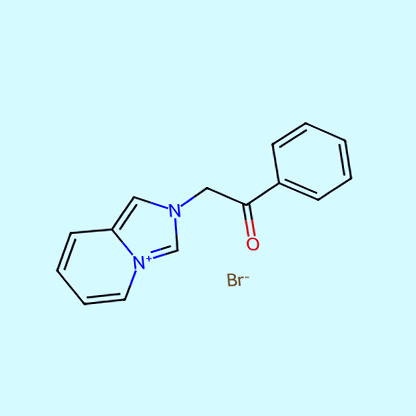 O=C(Cn1cc2cccc[n+]2c1)c1ccccc1.[Br-]